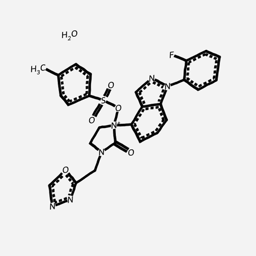 Cc1ccc(S(=O)(=O)O[N+]2(c3cccc4c3cnn4-c3ccccc3F)CCN(Cc3nnco3)C2=O)cc1.O